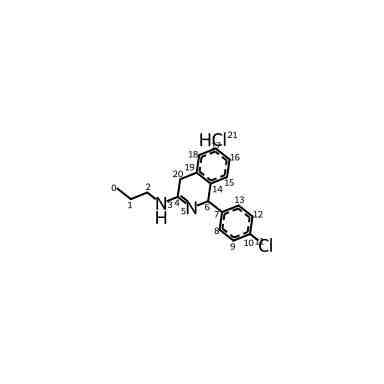 CCCNC1=NC(c2ccc(Cl)cc2)c2ccccc2C1.Cl